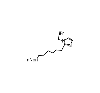 CCCCCCCCCCCCCCCc1nccn1CC(C)C